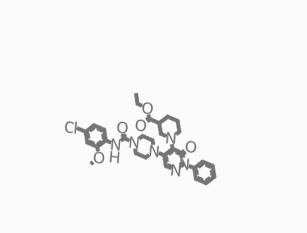 CCOC(=O)C1CCCN(c2c(N3CCN(C(=O)Nc4ccc(Cl)cc4OC)CC3)cnn(-c3ccccc3)c2=O)C1